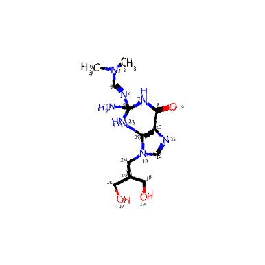 CN(C)/C=N/C1(N)NC(=O)c2ncn(CC(CO)CO)c2N1